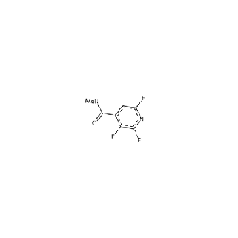 CNC(=O)c1cc(F)nc(F)c1F